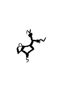 N#CC(C#N)=C1CC(=S)c2ccoc21